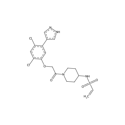 C=CS(=O)(=O)NC1CCN(C(=O)COc2cc(-c3cn[nH]c3)c(Cl)cc2Cl)CC1